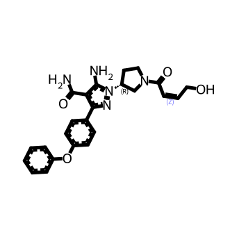 NC(=O)c1c(-c2ccc(Oc3ccccc3)cc2)nn([C@@H]2CCN(C(=O)/C=C\CO)C2)c1N